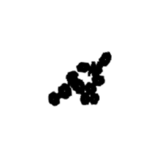 c1ccc(-c2ccc(-n3c4ccccc4c4ccc(-c5cccc6c7ccccc7c7cc(-c8cccc(-c9cc(-c%10ccccc%10)nc(-c%10ccccc%10)n9)c8)ccc7c56)cc43)cc2)cc1